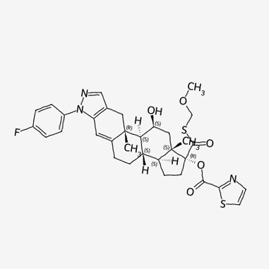 COCSC(=O)[C@@]1(OC(=O)c2nccs2)CC[C@H]2[C@@H]3CCC4=Cc5c(cnn5-c5ccc(F)cc5)C[C@]4(C)[C@H]3[C@@H](O)C[C@@]21C